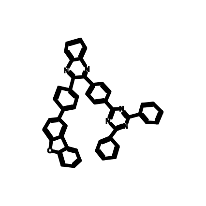 c1ccc(-c2nc(-c3ccccc3)nc(-c3ccc(-c4nc5ccccc5nc4-c4ccc(-c5ccc6oc7ccccc7c6c5)cc4)cc3)n2)cc1